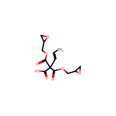 CC=CC(C(=O)O)(C(=O)OCC1CO1)C(=O)OCC1CO1